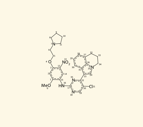 COc1cc(OCCN2CCCC2)c([N+](=O)[O-])cc1Nc1ncc(Cl)c(-c2cn3c4c(cccc24)CCC3)n1